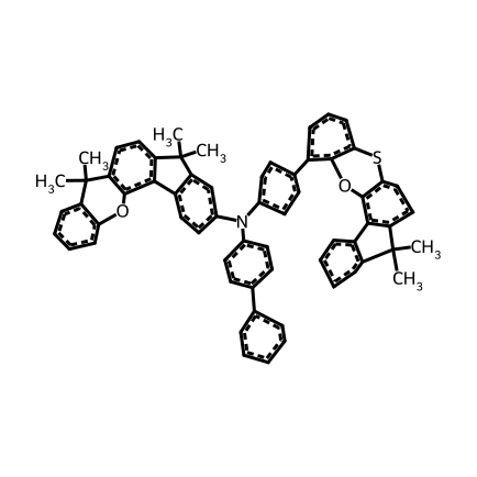 CC1(C)c2ccccc2Oc2c1ccc1c2-c2ccc(N(c3ccc(-c4ccccc4)cc3)c3ccc(-c4cccc5c4Oc4c(ccc6c4-c4ccccc4C6(C)C)S5)cc3)cc2C1(C)C